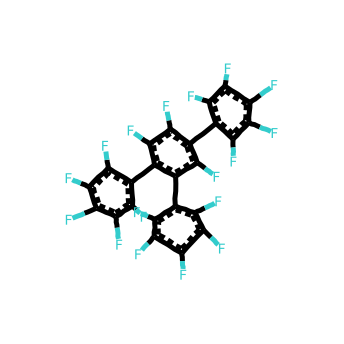 Fc1c(F)c(F)c(-c2c(F)c(F)c(-c3c(F)c(F)c(F)c(F)c3F)c(-c3c(F)c(F)c(F)c(F)c3F)c2F)c(F)c1F